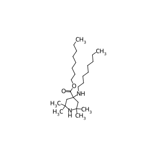 CCCCCCCCNC1(C(=O)OCCCCCCCC)CC(C)(C)NC(C)(C)C1